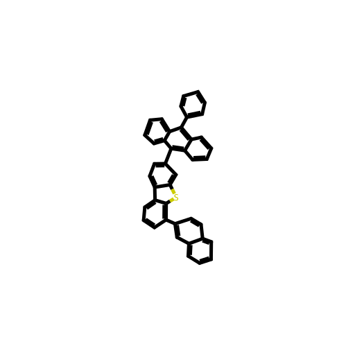 c1ccc(-c2c3ccccc3c(-c3ccc4c(c3)sc3c(-c5ccc6ccccc6c5)cccc34)c3ccccc23)cc1